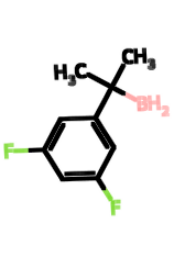 BC(C)(C)c1cc(F)cc(F)c1